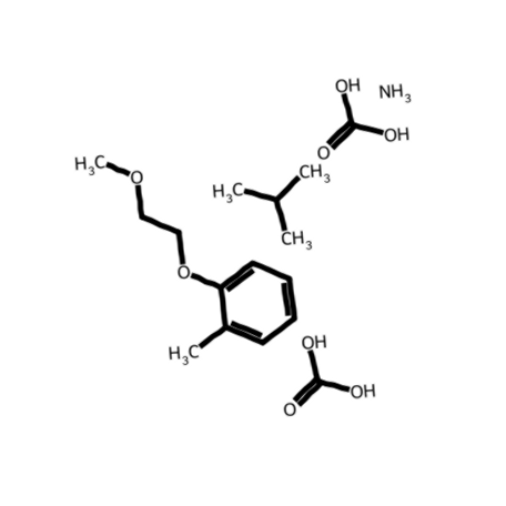 CC(C)C.COCCOc1ccccc1C.N.O=C(O)O.O=C(O)O